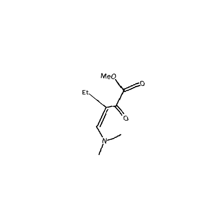 CCC(=CN(C)C)C(=O)C(=O)OC